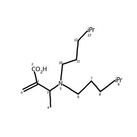 C=C(C(=O)O)C(C)N(CCCC(C)C)CCCC(C)C